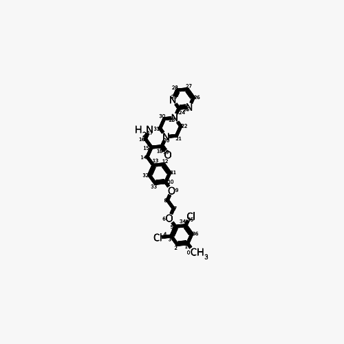 Cc1cc(Cl)c(OCCOc2ccc(CC(CN)C(=O)N3CCN(c4ncccn4)CC3)cc2)c(Cl)c1